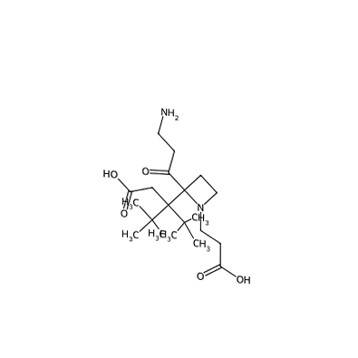 CC(C)(C)C(CC(=O)O)(C(C)(C)C)C1(C(=O)CCN)CCN1CCC(=O)O